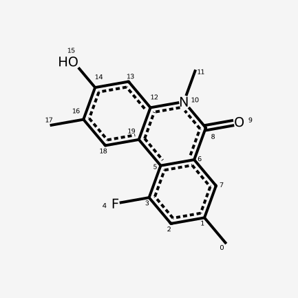 Cc1cc(F)c2c(c1)c(=O)n(C)c1cc(O)c(C)cc21